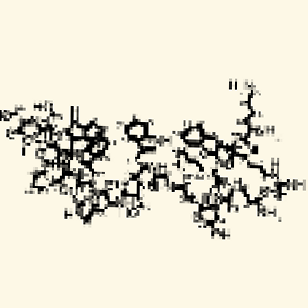 N=C(N)NCCC[C@H](NC(=O)[C@@H](N)CCCCN)C(=O)N[C@@H](Cc1ccccc1)C(=O)N[C@@H](CCCCN)C(=O)N[C@@H](CCC(N)=O)C(=O)N[C@@H](CC(=O)O)C(=O)NCC(=O)NCC(=O)N[C@@H](Cc1c[nH]c2ccccc12)C(=O)N[C@@H](CO)C(=O)N[C@@H](Cc1c[nH]cn1)C(=O)N[C@@H](Cc1c[nH]c2ccccc12)C(=O)N[C@@H](CO)C(=O)N1CCC[C@H]1C(=O)N[C@@H](Cc1c[nH]c2ccccc12)C(=O)N[C@@H](CO)C(=O)N[C@@H](CO)C(=O)O